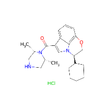 C[C@@H]1CNC[C@H](C)N1C(=O)c1cn2c3c(cccc13)OC[C@H]2C1CCCCC1.Cl